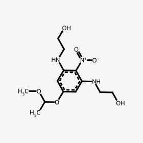 COC(C)Oc1cc(NCCO)c([N+](=O)[O-])c(NCCO)c1